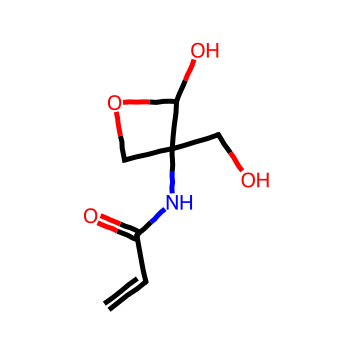 C=CC(=O)NC1(CO)COC1O